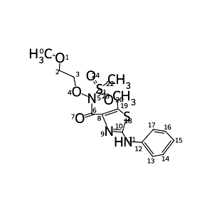 COCCON(C(=O)c1nc(Nc2ccccc2)sc1C)S(C)(=O)=O